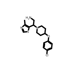 Cc1ncsc1C(CN)N1CCC(Oc2ccc(Cl)cc2)CC1